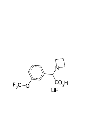 O=C(O)C(c1cccc(OC(F)(F)F)c1)N1CCC1.[LiH]